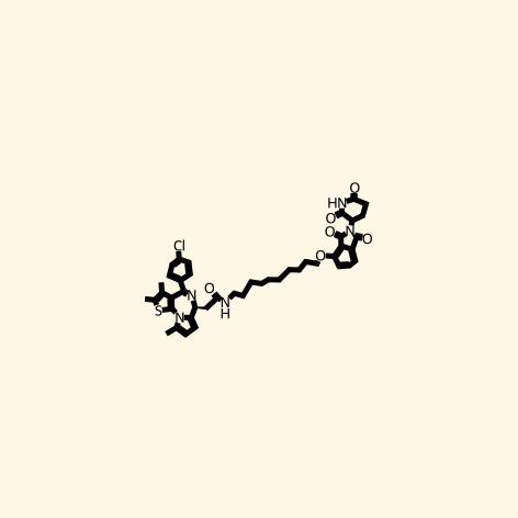 Cc1sc2c(c1C)C(c1ccc(Cl)cc1)=N[C@@H](CC(=O)NCCCCCCCCCCOc1cccc3c1C(=O)N(C1CCC(=O)NC1=O)C3=O)c1ccc(C)n1-2